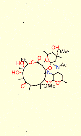 CC[C@H]1OC(=O)[C@H](C)[C@@H](O[C@H]2C[C@@](C)(OC)[C@@H](O)[C@H](C)O2)[C@H](C)[C@@H](O[C@@H]2O[C@H](C)C[C@@H](N(C)C(C)=O)[C@@H]2N(C)C)[C@@](C)(OC)C[C@@H](C)C(=O)[C@H](C)[C@@H](O)[C@]1(C)O